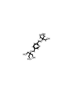 OCC(CO)(CO)OCc1ccc(COC(CO)(CO)CO)nc1